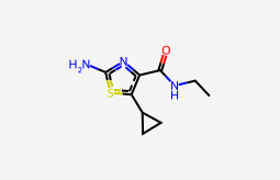 CCNC(=O)c1nc(N)sc1C1CC1